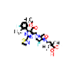 CCOC(=O)C1=C(CN2CC(F)C3C2CON3CCC(C)(C)C(=O)O)NC(c2nccs2)=NC1c1cccc(F)c1C